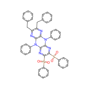 O=S(=O)(c1ccccc1)c1nc2c(nc1S(=O)(=O)c1ccccc1)N(c1ccccc1)c1nc(Cc3ccccc3)c(Cc3ccccc3)nc1N2c1ccccc1